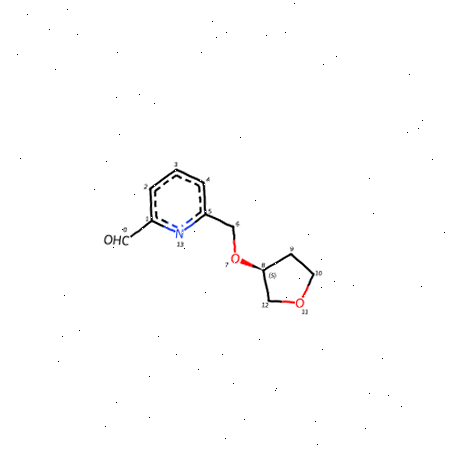 O=Cc1cccc(CO[C@H]2CCOC2)n1